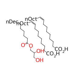 CCCCCCCC/C=C\CCCCCCCC(=O)O.CCCCCCCC/C=C\CCCCCCCC(=O)O.CCCCCCCCCCCCCCCC(=O)OCC(O)CO